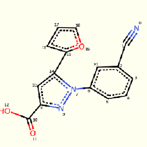 N#Cc1cccc(-n2nc(C(=O)O)cc2-c2ccco2)c1